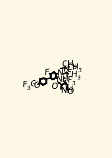 CC1CN(c2cc(F)c(-c3ccc(OC(F)(F)F)cc3)cc2NC(=O)c2c[nH]c(=O)cc2C(F)(F)F)CC(C)N1C